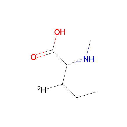 [2H]C(CC)[C@@H](NC)C(=O)O